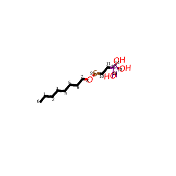 CCCCCCCCOSCC[PH](O)(O)O